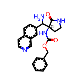 NC(c1ccc2ccncc2c1)[C@@]1(NC(=O)OCc2ccccc2)CCNC1=O